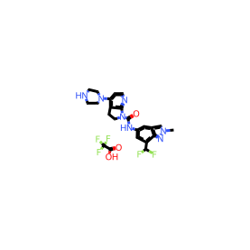 Cn1cc2cc(NC(=O)N3CCc4c(N5CCNCC5)ccnc43)cc(C(F)F)c2n1.O=C(O)C(F)(F)F